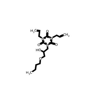 C=CCn1c(=O)n(CC=C)c(=O)n(CC(O)COCCCC)c1=O